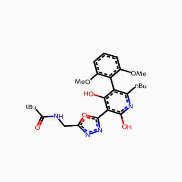 CCCCc1nc(O)c(-c2nnc(CNC(=O)C(C)(C)C)o2)c(O)c1-c1c(OC)cccc1OC